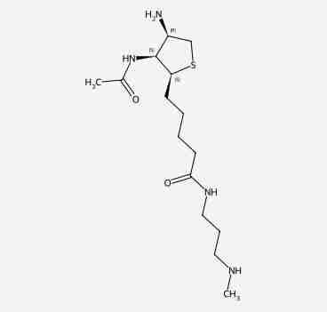 CNCCCNC(=O)CCCC[C@@H]1SC[C@H](N)[C@@H]1NC(C)=O